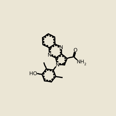 Cc1ccc(O)c(C)c1-n1cc(C(N)=O)c2nc3ccccc3nc21